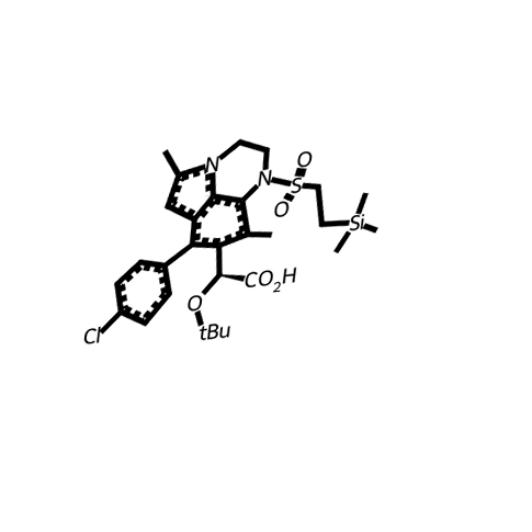 Cc1c([C@H](OC(C)(C)C)C(=O)O)c(-c2ccc(Cl)cc2)c2cc(C)n3c2c1N(S(=O)(=O)CC[Si](C)(C)C)CC3